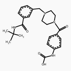 CC(C)(C)NC(=O)c1cccc(CN2CCN(C(=O)c3ccc(NC(=O)O)cc3)CC2)c1